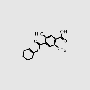 Cc1cc(C(=O)OC2=CCCCC2)c(C)cc1C(=O)O